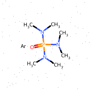 CN(C)P(=O)(N(C)C)N(C)C.[Ar]